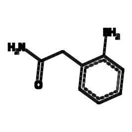 Bc1ccccc1CC(N)=O